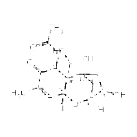 CC(=O)O[C@@H]1C(=O)C(C)=C[C@H]2O[C@@H]3[C@H](O)C[C@@](C)(C34CO4)[C@@]12CO